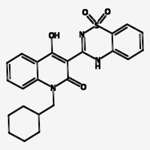 O=c1c(C2=NS(=O)(=O)c3ccccc3N2)c(O)c2ccccc2n1CC1CCCCC1